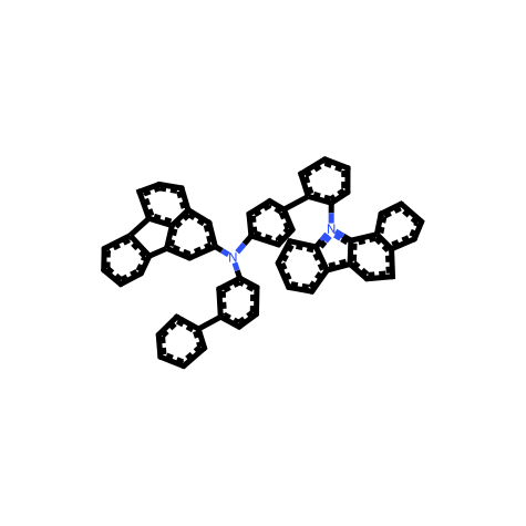 c1ccc(-c2cccc(N(c3ccc(-c4ccccc4-n4c5ccccc5c5ccc6ccccc6c54)cc3)c3cc4c5c(cccc5c3)-c3ccccc3-4)c2)cc1